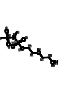 CN(S(C)(=O)=O)S(=O)(=O)OCCOCCO